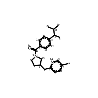 Cc1ccc(CC2CCN(C(=O)c3ccc(C(C)C(C)C)cc3)C2)nc1